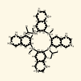 CC(C)P1c2cc3cncnc3cc2N(C)c2cc3ncncc3cc2[PH](C)(C(C)C)c2cc3ncncc3cc2N(C)c2cc3cncnc3cc21